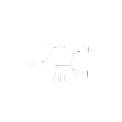 CC1O[C@@H](O)[C@@H](O)C(O)[C@H]1O